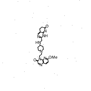 COc1ccc2ncc(=O)n(CCN3CCC(NCC4=NC=C5CCC(=O)N=C5N4)CC3)c2n1